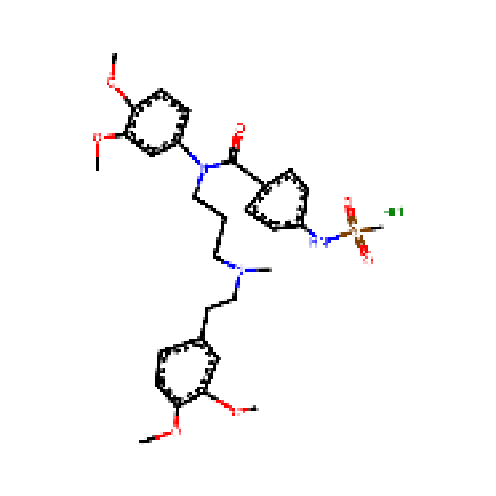 COc1ccc(CCN(C)CCCN(C(=O)c2ccc(NS(C)(=O)=O)cc2)c2ccc(OC)c(OC)c2)cc1OC.Cl